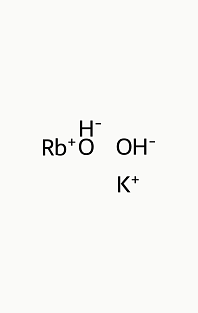 [K+].[OH-].[OH-].[Rb+]